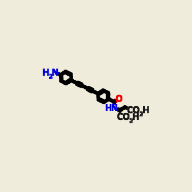 Nc1ccc(C#CC#Cc2ccc(C(=O)N[C@@H](CC(=O)O)C(=O)O)cc2)cc1